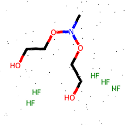 CN(OCCO)OCCO.F.F.F.F.F